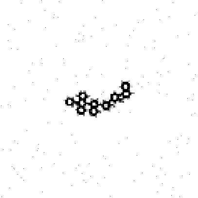 c1ccc(-c2c3ccccc3c(-c3ccc(-c4ccc5sc6c(ccc7c6sc6ccc8ccccc8c67)c5c4)c4ccccc34)c3ccccc23)cc1